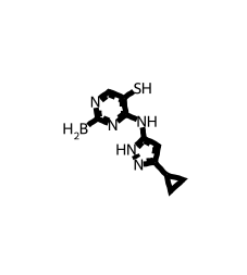 Bc1ncc(S)c(Nc2cc(C3CC3)n[nH]2)n1